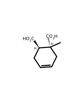 C[C@@]1(C(=O)O)CC=CC[C@H]1C(=O)O